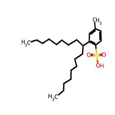 CCCCCCCCC(CCCCCCCC)c1cc(C)ccc1S(=O)(=O)O